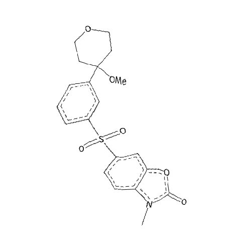 COC1(c2cccc(S(=O)(=O)c3ccc4c(c3)oc(=O)n4C)c2)CCOCC1